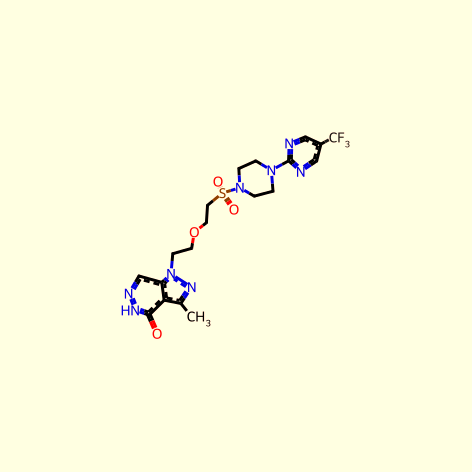 Cc1nn(CCOCCS(=O)(=O)N2CCN(c3ncc(C(F)(F)F)cn3)CC2)c2cn[nH]c(=O)c12